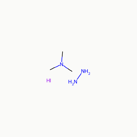 CN(C)C.I.NN